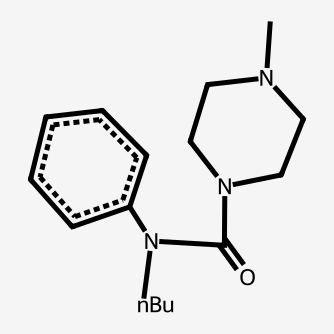 CCCCN(C(=O)N1CCN(C)CC1)c1ccccc1